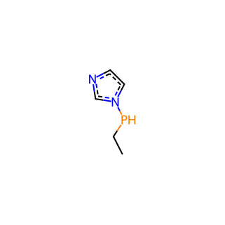 CCPn1ccnc1